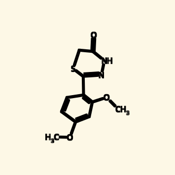 COc1ccc(C2=NNC(=O)CS2)c(OC)c1